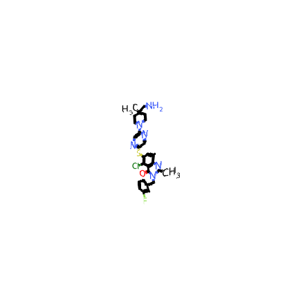 Cc1nc2ccc(Sc3cnc(N4CCC(C)(CN)CC4)cn3)c(Cl)c2c(=O)n1Cc1cccc(F)c1